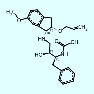 C=CCO[C@H]1Cc2ccc(OC)cc2[C@H]1NC[C@H](O)[C@H](Cc1ccccc1)NC(=O)O